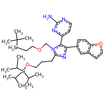 CC(C)[Si](OCCCc1nc(-c2ccc3occc3c2)c(-c2ccnc(N)n2)n1COCC[SiH2]C(C)(C)C)(C(C)C)C(C)C